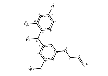 C=CCOc1cc(CO)cc(C(S)c2ccc(Cl)cc2C(F)(F)F)c1